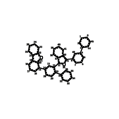 c1ccc(-c2cccc(-c3oc(-c4cc(-c5cccc6c5oc5ccccc56)ccc4-c4ccccc4)c4ccccc34)c2)cc1